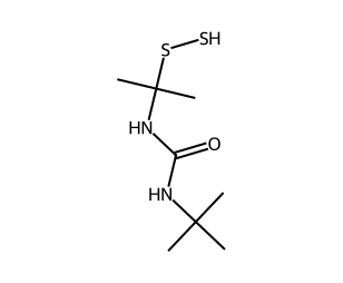 CC(C)(C)NC(=O)NC(C)(C)SS